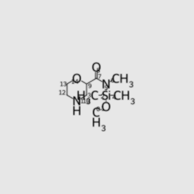 CO[Si](C)(C)N(C)C(=O)C1CNCCO1